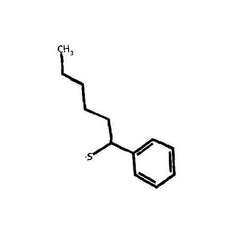 CCCCCC([S])c1ccccc1